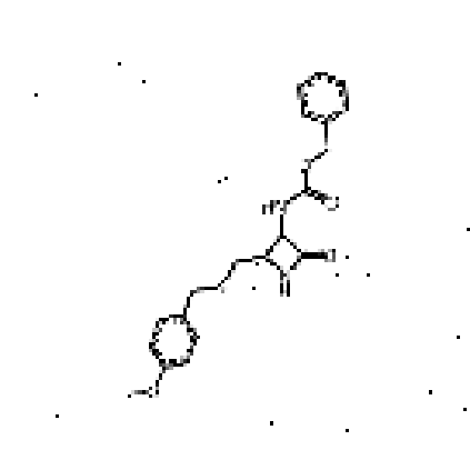 COc1ccc(CSCC2NC(=O)C2NC(=O)OCc2ccccc2)cc1